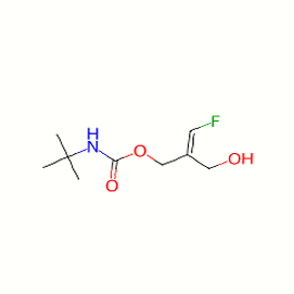 CC(C)(C)NC(=O)OCC(=CF)CO